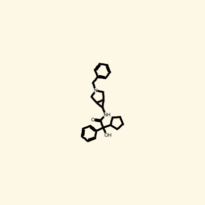 O=C(NC1C2CN(Cc3ccccc3)CC21)C(O)(c1ccccc1)C1CCCC1